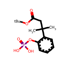 CC(C)(C)OC(=O)CC(C)(C)c1ccccc1OP(=O)(O)O